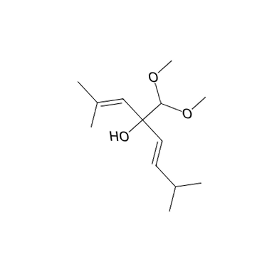 COC(OC)C(O)(C=C(C)C)/C=C/C(C)C